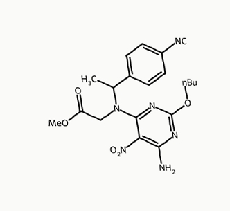 [C-]#[N+]c1ccc(C(C)N(CC(=O)OC)c2nc(OCCCC)nc(N)c2[N+](=O)[O-])cc1